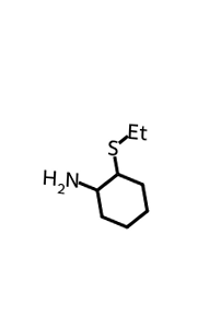 CCSC1CCCCC1N